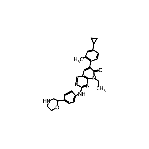 CCn1c(=O)c(-c2ccc(C3CC3)cc2C)cc2cnc(Nc3ccc(C4CNCCO4)cc3)nc21